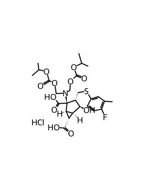 Cc1cc(SC[C@@H]2[C@@H](O)[C@H]3[C@H](C(=O)O)[C@H]3[C@@]2(C(=O)O)N(COC(=O)OC(C)C)COC(=O)OC(C)C)ccc1F.Cl